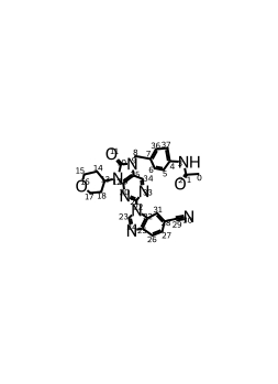 CC(=O)Nc1ccc(Cn2c(=O)n(C3CCOCC3)c3nc(-n4cnc5ccc(C#N)cc54)ncc32)cc1